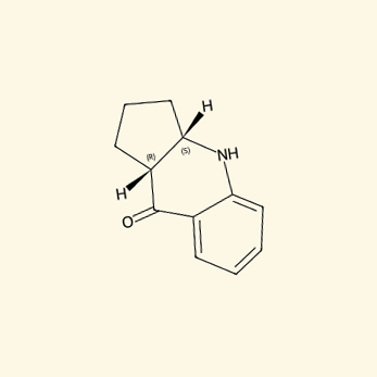 O=C1c2ccccc2N[C@H]2CCC[C@@H]12